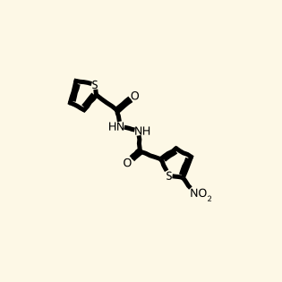 O=C(NNC(=O)c1ccc([N+](=O)[O-])s1)c1cccs1